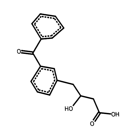 O=C(O)CC(O)Cc1cccc(C(=O)c2ccccc2)c1